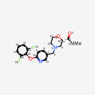 CNC(=O)[C@@H]1CN(Cc2ccc(Oc3c(F)cccc3F)nc2)CCO1